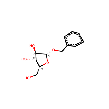 OC[C@H]1O[C@@H](OCc2ccccc2)[C@H](O)[C@H]1O